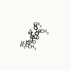 COc1cc2c(cc1C1=CCN(C)CC1)-c1c(c(C(=O)NCC(C)(C)C)nn1-c1ccsc1)CO2